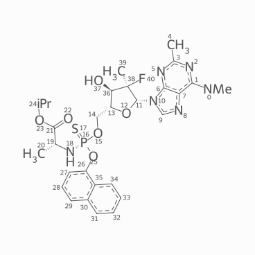 CNc1nc(C)nc2c1ncn2[C@@H]1O[C@H](CO[P@@](=S)(N[C@H](C)C(=O)OC(C)C)Oc2cccc3ccccc23)[C@@H](O)[C@@]1(C)F